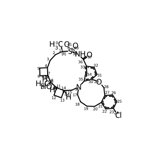 C[C@@H]1CCC2CC[C@@H]2[C@@](C)(O)[C@@H]2CC[C@H]2CN2CCCCc3cc(Cl)ccc3COc3ccc(cc32)C(=O)NS1(=O)=O